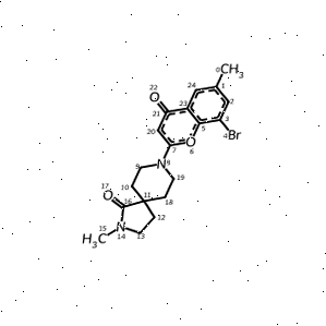 Cc1cc(Br)c2oc(N3CCC4(CCN(C)C4=O)CC3)cc(=O)c2c1